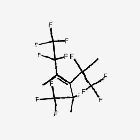 CC(=C(C(C)(F)C(F)(F)F)C(C)(F)C(F)(F)F)C(F)(F)C(F)(F)F